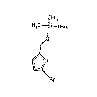 CC(C)(C)[Si](C)(C)OCc1ccc(Br)o1